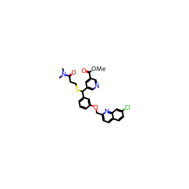 COC(=O)c1cncc(C(SCCC(=O)N(C)C)c2cccc(OCc3ccc4ccc(Cl)cc4n3)c2)c1